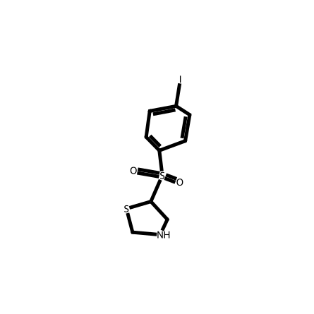 O=S(=O)(c1ccc(I)cc1)C1CNCS1